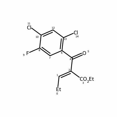 CCC=C(C(=O)OCC)C(=O)c1cc(F)c(Cl)cc1Cl